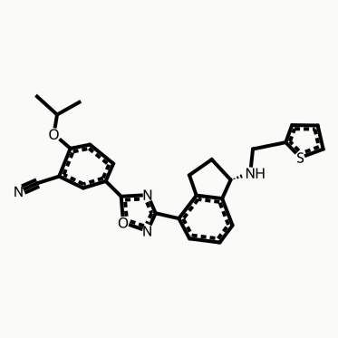 CC(C)Oc1ccc(-c2nc(-c3cccc4c3CC[C@@H]4NCc3cccs3)no2)cc1C#N